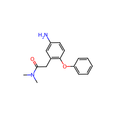 CN(C)C(=O)Cc1cc(N)ccc1Oc1ccccc1